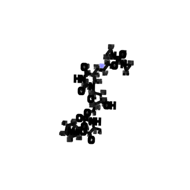 COC(=O)C(C)NP(=O)(OC[C@H]1OC(n2cc(/C=C/COP(=O)(N3CC3)N3CC3)c(=O)[nH]c2=O)CC1O)Oc1ccccc1